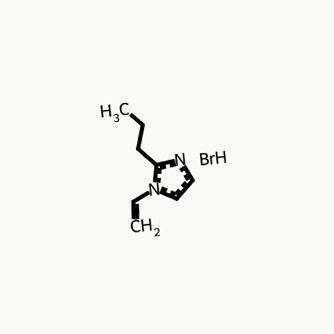 Br.C=Cn1ccnc1CCC